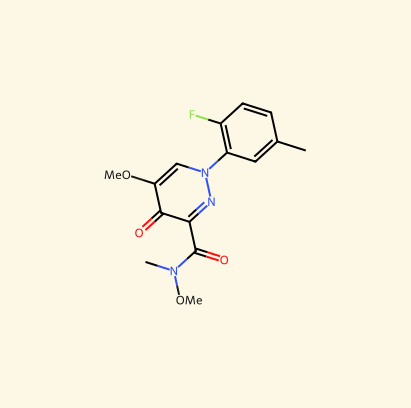 COc1cn(-c2cc(C)ccc2F)nc(C(=O)N(C)OC)c1=O